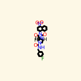 O=C1[C@H]2[C@@H]3C[C@@H](CN3C(=O)NCc3ccc(F)cc3)N2C(=O)N1c1ccc([N+](=O)[O-])c2ccccc12